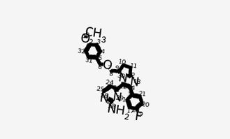 COc1ccc(COCC2CCc3nc(-c4ccc(F)cc4)c(-c4ccnc(N)n4)n32)cc1